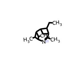 CCC1C2CC1C1C(C)C(/N=C\2C)C1C